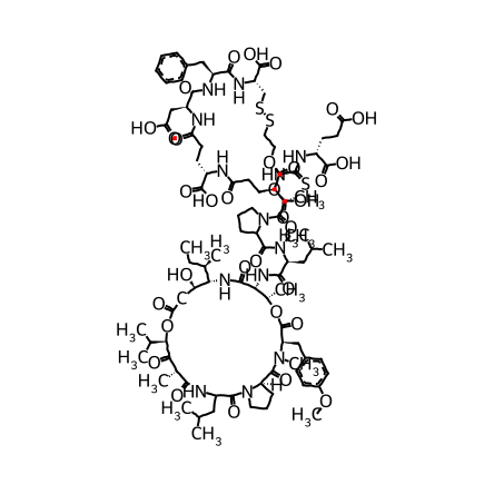 CC[C@@H](C)[C@@H]1NC(=O)[C@H](NC(=O)[C@H](CC(C)C)N(C)C(=O)C2CCCN2C(=O)[C@@H](C)OC(=O)OCCSSC[C@H](NC(=O)[C@H](Cc2ccccc2)NC(=O)[C@H](CC(=O)O)NC(=O)CC[C@H](NC(=O)CC[C@@H](NC(=S)N[C@H](CCC(=O)O)C(=O)O)C(=O)O)C(=O)O)C(=O)O)[C@H](C)OC(=O)[C@@H](Cc2ccc(OC)cc2)N(C)C(=O)[C@H]2CCCN2C(=O)C(CC(C)C)NC(=O)[C@H](C)C(=O)[C@@H](C(C)C)OC(=O)C[C@H]1O